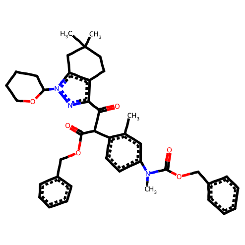 Cc1cc(N(C)C(=O)OCc2ccccc2)ccc1C(C(=O)OCc1ccccc1)C(=O)c1nn(C2CCCCO2)c2c1CCC(C)(C)C2